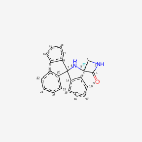 O=C1NCC1(F)NC(c1ccccc1)(c1ccccc1)c1ccccc1